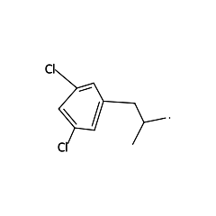 [CH2]C(C)Cc1cc(Cl)cc(Cl)c1